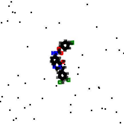 O=C(Nc1ccc2ncn(Cc3ccc(Cl)c(Cl)c3)c(=O)c2c1)Oc1ccc(Cl)cc1